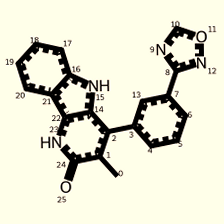 Cc1c(-c2cccc(-c3ncon3)c2)c2[nH]c3ccccc3c2[nH]c1=O